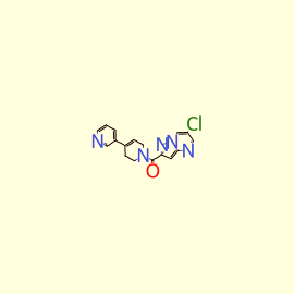 O=C(c1cc2ncc(Cl)cn2n1)N1CC=C(c2cccnc2)CC1